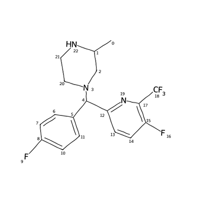 CC1CN(C(c2ccc(F)cc2)c2ccc(F)c(C(F)(F)F)n2)CCN1